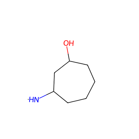 [NH]C1CCCCC(O)C1